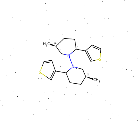 C[C@H]1CCC(c2ccsc2)N(N2C[C@@H](C)CCC2c2ccsc2)C1